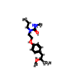 CCNC(=O)N(CCOc1ccc(CC(OCC)C(=O)O)cc1)CCC(C)C